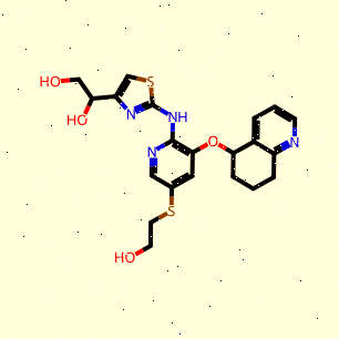 OCCSc1cnc(Nc2nc(C(O)CO)cs2)c(OC2CCCc3ncccc32)c1